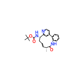 C[C@@H]1/C=C/C[C@H](NC(=O)OC(C)(C)C)c2cc(ccn2)-c2ccccc2NC1=O